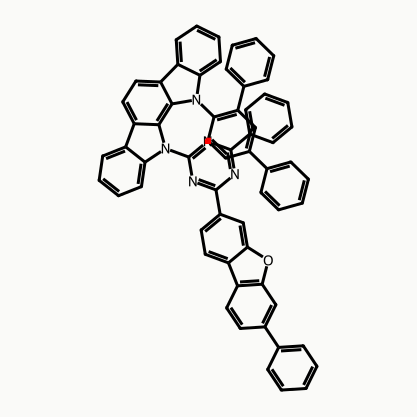 c1ccc(-c2ccc(-n3c4ccccc4c4ccc5c6ccccc6n(-c6nc(-c7ccccc7)nc(-c7ccc8c(c7)oc7cc(-c9ccccc9)ccc78)n6)c5c43)c(-c3ccccc3)c2)cc1